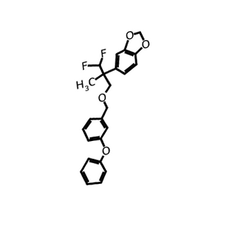 CC(COCc1cccc(Oc2ccccc2)c1)(c1ccc2c(c1)OCO2)C(F)F